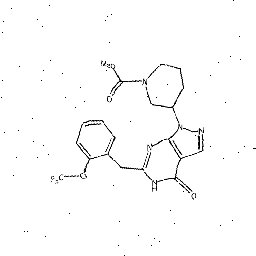 COC(=O)N1CCCC(n2ncc3c(=O)[nH]c(Cc4ccccc4OC(F)(F)F)nc32)C1